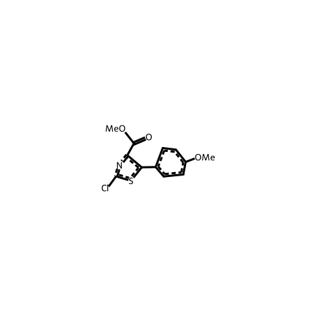 COC(=O)c1nc(Cl)sc1-c1ccc(OC)cc1